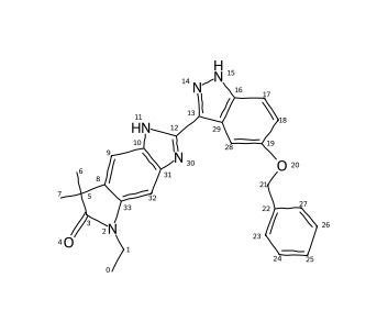 CCN1C(=O)C(C)(C)c2cc3[nH]c(-c4n[nH]c5ccc(OCc6ccccc6)cc45)nc3cc21